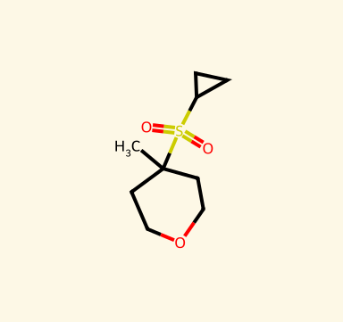 CC1(S(=O)(=O)C2CC2)CCOCC1